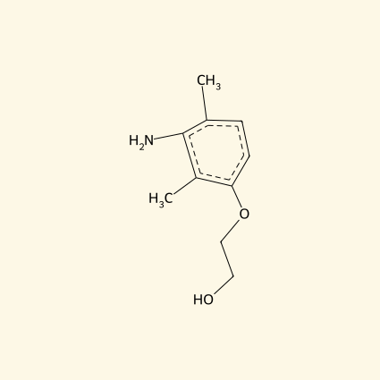 Cc1ccc(OCCO)c(C)c1N